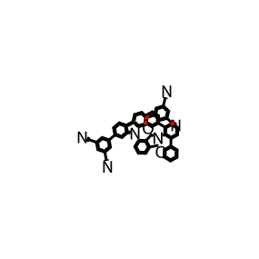 N#Cc1cc(C#N)cc(-c2ccc3c4ccc(-c5cc(C#N)cc(C#N)c5)cc4n(-c4cccc5c4C(=O)N(c4c(-c6ccccc6)cccc4-c4ccccc4)C5=O)c3c2)c1